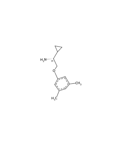 Cc1cc(C)cc(OC[C@H](N)C2CC2)c1